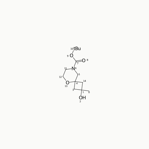 CC1(O)CC2(CN(C(=O)OC(C)(C)C)CCO2)C1